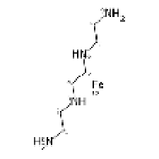 NCCNCCNCCN.[Fe]